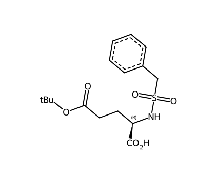 CC(C)(C)OC(=O)CC[C@@H](NS(=O)(=O)Cc1ccccc1)C(=O)O